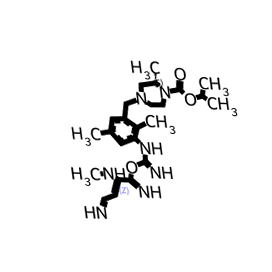 CN/C(=C\C=N)C(=N)OC(=N)Nc1cc(C)cc(CN2CCN(C(=O)OC(C)C)[C@@H](C)C2)c1C